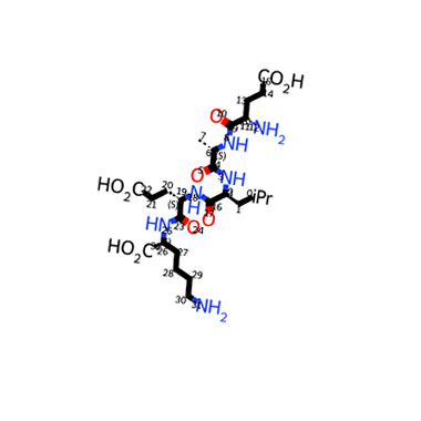 CC(C)C[C@H](NC(=O)[C@H](C)NC(=O)[C@@H](N)CCC(=O)O)C(=O)N[C@@H](CCC(=O)O)C(=O)N[C@@H](CCCCN)C(=O)O